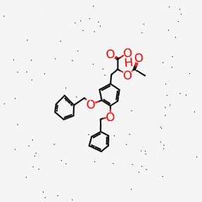 CC(=O)OC(Cc1ccc(OCc2ccccc2)c(OCc2ccccc2)c1)C(=O)O